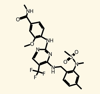 CNC(=O)c1ccc(Nc2ncc(C(F)(F)F)c(NCc3ccc(C)cc3N(C)S(C)(=O)=O)n2)c(OC)c1